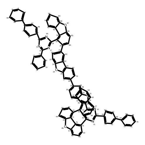 c1ccc(-c2ccc(-c3nc(-c4ccccc4)nc(-c4c(-c5ccc6oc7cc(-c8ccc9c(c8)oc8cccc(-c%10cccc%11oc%12cccc(-c%13nc(-c%14ccccc%14)nc(-c%14ccc(-c%15ccccc%15)cc%14)n%13)c%12c%10%11)c89)ccc7c6c5)ccc5oc6ccccc6c45)n3)cc2)cc1